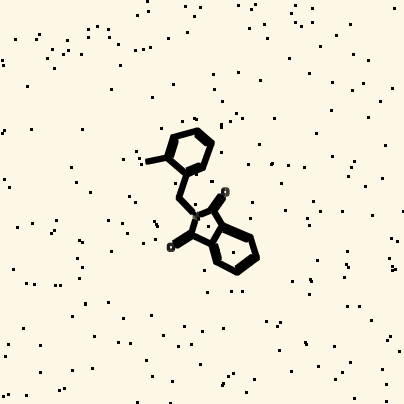 Cc1ccccc1CN1C(=O)c2ccccc2C1=O